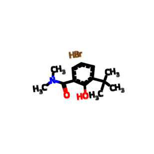 Br.CN(C)C(=O)c1cccc(C(C)(C)C)c1O